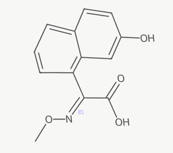 CO/N=C(/C(=O)O)c1cccc2ccc(O)cc12